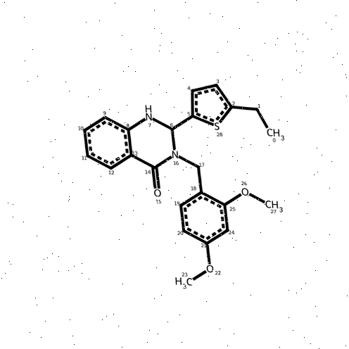 CCc1ccc(C2Nc3ccccc3C(=O)N2Cc2ccc(OC)cc2OC)s1